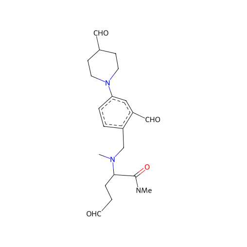 CNC(=O)C(CCC=O)N(C)Cc1ccc(N2CCC(C=O)CC2)cc1C=O